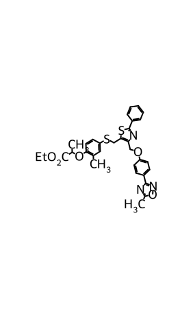 CCOC(=O)C(C)Oc1ccc(SCc2sc(-c3ccccc3)nc2COc2ccc(-c3noc(C)n3)cc2)cc1C